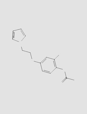 CC(=O)Oc1ccc(NCC[SH]2C=CC=C2)cc1Cl